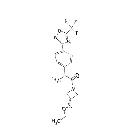 CCON=C1CN(C(=O)C(C)c2ccc(-c3noc(C(F)(F)F)n3)cc2)C1